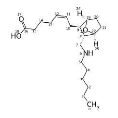 CCCCCCNC[C@@H]1[C@@H](C/C=C\CCCC(=O)O)[C@H]2CC[C@@H]1O2